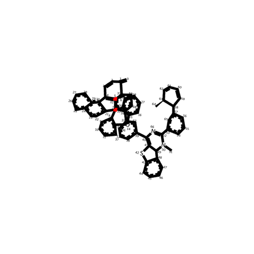 C=C(/C=C\C1=C(C)C2(c3ccccc3Oc3ccccc32)c2ccc3ccccc3c21)c1ccc(-c2cccc(C3=C4Sc5ccccc5C4N(C)C(c4cccc(C5C=CC=C[C@@H]5C)c4)=N3)c2)cc1